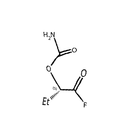 CC[C@H](OC(N)=O)C(=O)F